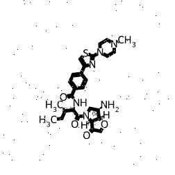 CC[C@H](C)[C@H](NC(=O)c1ccc(-c2csc(N3CCN(C)CC3)n2)cc1)C(=O)N1C[C@H](N)[C@H]2OCC(=O)[C@H]21